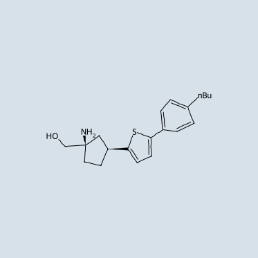 CCCCc1ccc(-c2ccc([C@H]3CC[C@](N)(CO)C3)s2)cc1